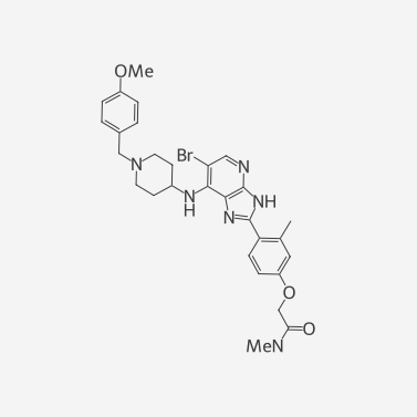 CNC(=O)COc1ccc(-c2nc3c(NC4CCN(Cc5ccc(OC)cc5)CC4)c(Br)cnc3[nH]2)c(C)c1